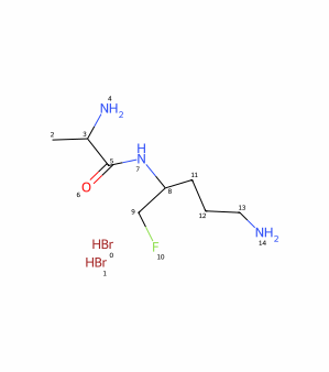 Br.Br.CC(N)C(=O)NC(CF)CCCN